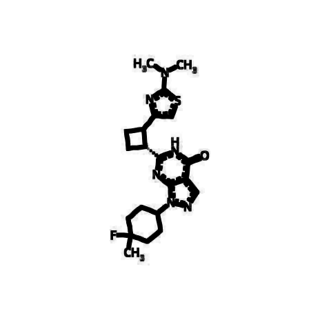 CN(C)c1nc(C2CC[C@H]2c2nc3c(cnn3C3CCC(C)(F)CC3)c(=O)[nH]2)cs1